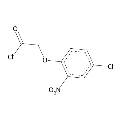 O=C(Cl)COc1ccc(Cl)cc1[N+](=O)[O-]